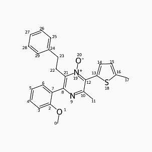 COc1ccccc1-c1nc(C)c(-c2ccc(C)s2)[n+]([O-])c1CCc1ccccc1